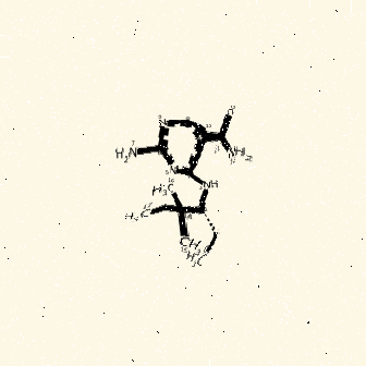 CC[C@@H](Nc1nc(N)ncc1C(N)=O)C(C)(C)C